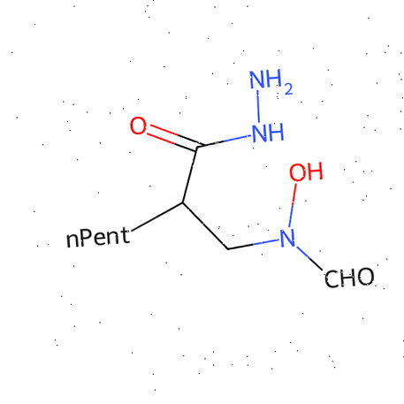 CCCCCC(CN(O)C=O)C(=O)NN